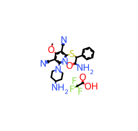 COc1c(C#N)c(SC(C(N)=O)c2ccccc2)nc(N2CCC(N)CC2)c1C#N.O=C(O)C(F)(F)F